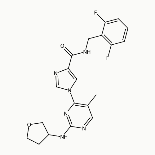 Cc1cnc(NC2CCOC2)nc1-n1cnc(C(=O)NCc2c(F)cccc2F)c1